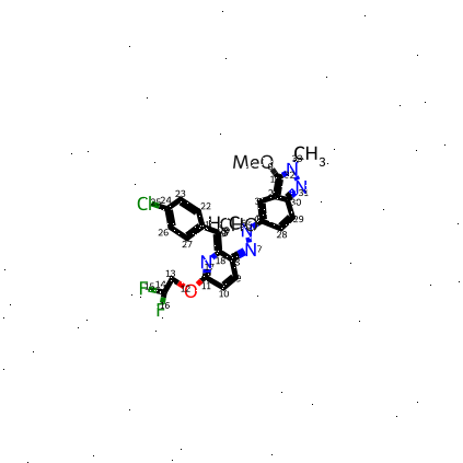 COc1c2cc(N(C)/N=C3/C=CC(OCC(F)F)=N/C3=C(/C=O)c3ccc(Cl)cc3)ccc2nn1C